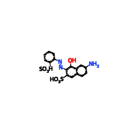 Nc1ccc2cc(S(=O)(=O)O)c(N=Nc3ccccc3S(=O)(=O)O)c(O)c2c1